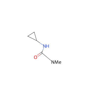 CNC(=O)NC1CC1